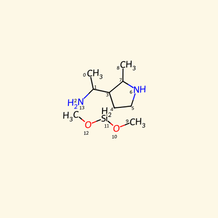 CC(N)C1CCNC1C.CO[SiH2]OC